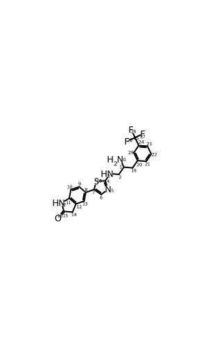 NC(CNc1ncc(-c2ccc3c(c2)CC(=O)N3)s1)Cc1cccc(C(F)(F)F)c1